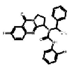 CCc1ccccc1NC(=O)N(C(C)c1ccccc1)C1CCn2c1nc1ccc(F)cc1c2=O